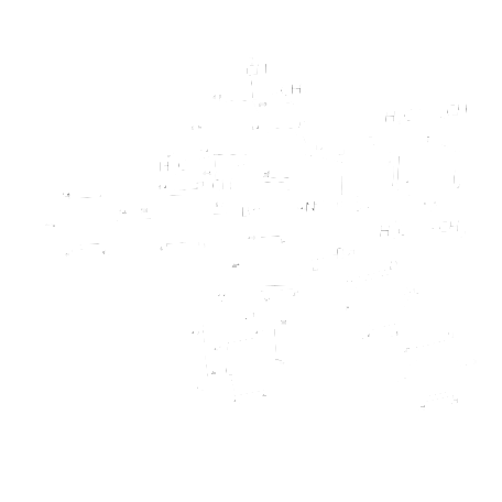 CC1(C)CCC(C)(C)c2c1cc1c3cc4c(c5c3n3c1c2B(c1ccc(-c2ccccc2)cc1)c1cc(C26CC7CC8CC(C2)C6(C8)C7)cc(c1-3)B5c1ccc(-c2ccccc2)cc1)C(C)(C)CCC4(C)C